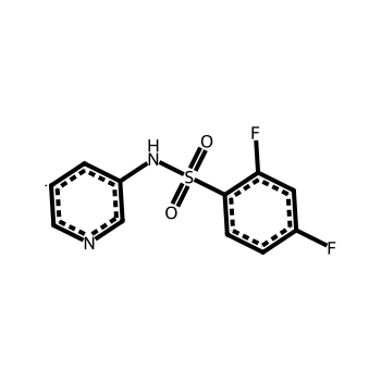 O=S(=O)(Nc1c[c]cnc1)c1ccc(F)cc1F